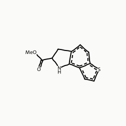 COC(=O)C1Cc2ccc3sccc3c2N1